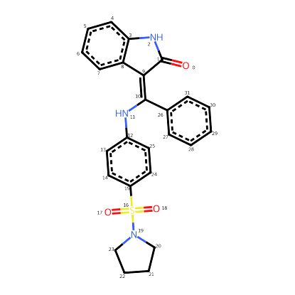 O=C1Nc2ccccc2C1=C(Nc1ccc(S(=O)(=O)N2CCCC2)cc1)c1ccccc1